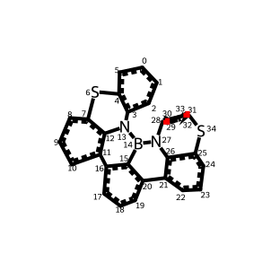 c1ccc2c(c1)Sc1cccc3c1N2B1c2c-3cccc2-c2cccc3c2N1c1ccccc1S3